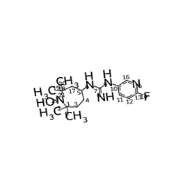 CC1(C)CCC(NC(=N)Nc2ccc(F)nc2)CC(C)(C)N1O